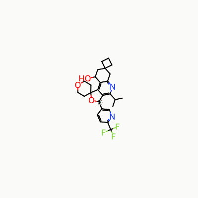 CC(C)c1nc2c(c3c1[C@@H](c1ccc(C(F)(F)F)nc1)OC31CCOCC1)C(O)CC1(CCC1)C2